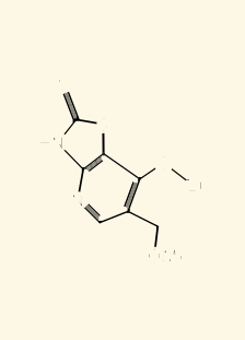 CCOc1c(COC)cnc2[nH]c(=S)sc12